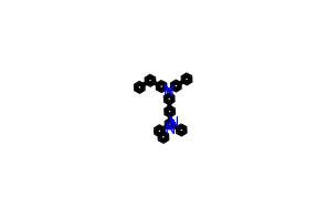 c1ccc(-c2ccc(N(c3ccc(-c4ccc(-c5cc(-c6cccc7ccccc67)nc(-c6ccccc6)n5)cc4)cc3)c3ccc(-c4cccc(-c5ccccc5)c4)cc3)cc2)cc1